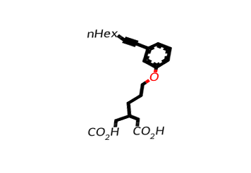 CCCCCCC#Cc1cccc(OCCCC(CC(=O)O)CC(=O)O)c1